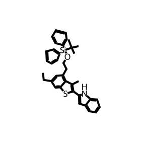 CCc1cc(CCO[Si](c2ccccc2)(c2ccccc2)C(C)(C)C)c2c(C)c(-c3cc4ccccc4[nH]3)sc2c1